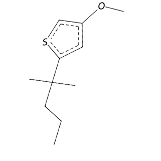 CCCC(C)(C)c1cc(OC)cs1